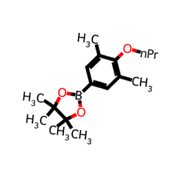 CCCOc1c(C)cc(B2OC(C)(C)C(C)(C)O2)cc1C